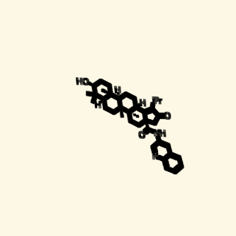 CC(C)C1=C2[C@H]3CC[C@@H]4[C@@]5(C)CC[C@H](O)C(C)(C)[C@@H]5CC[C@@]4(C)[C@]3(C)CC[C@@]2(C(=O)Nc2cnc3ccccc3c2)CC1=O